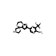 Nc1ncc(-c2cc3n(n2)CCO[C@@]32CCNC2)nc1C(F)(F)F